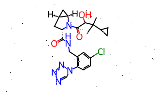 CC(C)(C1CC1)C(O)C(=O)N1[C@H](C(=O)NCc2cc(Cl)ccc2-n2cnnn2)C[C@@H]2C[C@@H]21